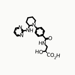 O=C(NC[C@H](O)C(=O)O)c1ccc(N2CCCCC2Nc2ncccn2)cc1